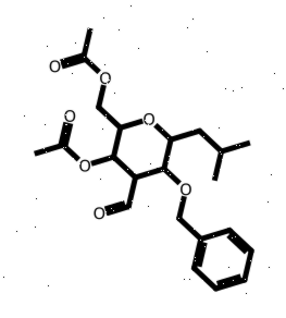 CC(=O)OCC1OC(CC(C)C)C(OCc2ccccc2)C(C=O)C1OC(C)=O